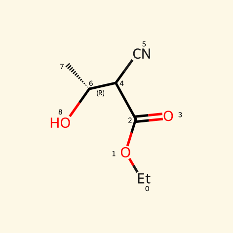 CCOC(=O)C(C#N)[C@@H](C)O